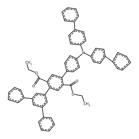 CCOC(=O)c1cc(-c2cc(-c3ccccc3)cc(-c3ccccc3)c2)c(C(=O)OCC)cc1-c1ccc(N(c2ccc(-c3ccccc3)cc2)c2ccc(-c3ccccc3)cc2)cc1